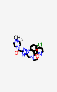 CN1CCN(C(=O)c2nc3n(n2)-c2ccc(Cl)cc2C2(c4ccccn4)OCCN2C3)CC1